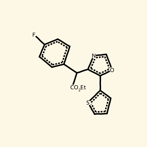 CCOC(=O)C(c1ccc(F)cc1)c1ncoc1-c1cccs1